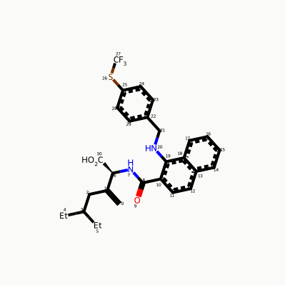 C=C(CC(CC)CC)[C@H](NC(=O)c1ccc2ccccc2c1NCc1ccc(SC(F)(F)F)cc1)C(=O)O